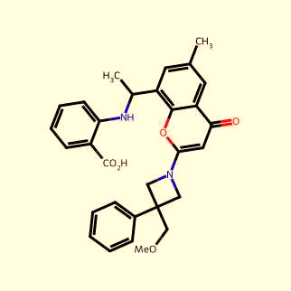 COCC1(c2ccccc2)CN(c2cc(=O)c3cc(C)cc(C(C)Nc4ccccc4C(=O)O)c3o2)C1